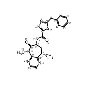 C[C@H]1C[C@@H](NC(=O)c2nnc(Cc3ccccc3)s2)C(=O)N(C)c2nccnc21